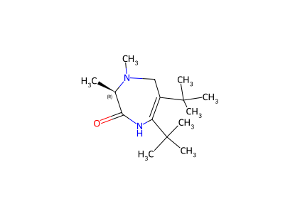 C[C@@H]1C(=O)NC(C(C)(C)C)=C(C(C)(C)C)CN1C